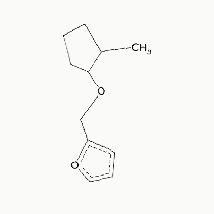 CC1CCCC1OCc1ccco1